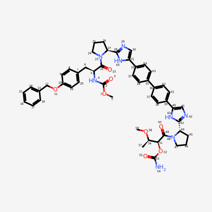 COC(=O)N[C@@H](Cc1ccc(OCc2ccccc2)cc1)C(=O)N1CCC[C@H]1c1ncc(-c2ccc(-c3ccc(-c4cnc([C@@H]5CCCN5C(=O)[C@@H](OC(N)=O)[C@@H](C)OC)[nH]4)cc3)cc2)[nH]1